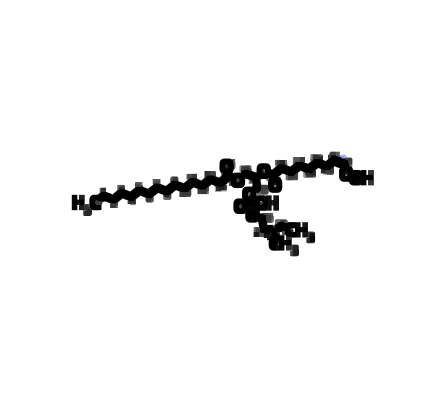 CCCCCCCCCCCCCCCC(=O)OCC(COP(=O)(O)OCCN(C)CC)OC(=O)CCCCCC/C=C\OO